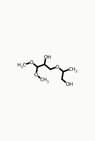 COC(OC)C(O)COC(C)CO